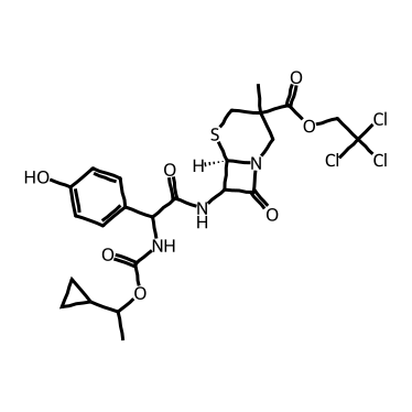 CC(OC(=O)NC(C(=O)NC1C(=O)N2CC(C)(C(=O)OCC(Cl)(Cl)Cl)CS[C@H]12)c1ccc(O)cc1)C1CC1